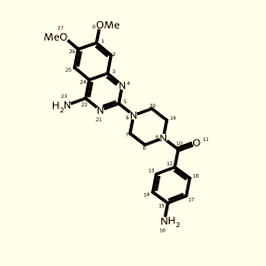 COc1cc2nc(N3CCN(C(=O)c4ccc(N)cc4)CC3)nc(N)c2cc1OC